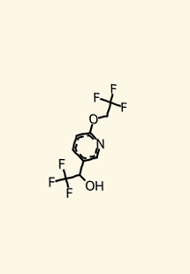 OC(c1ccc(OCC(F)(F)F)nc1)C(F)(F)F